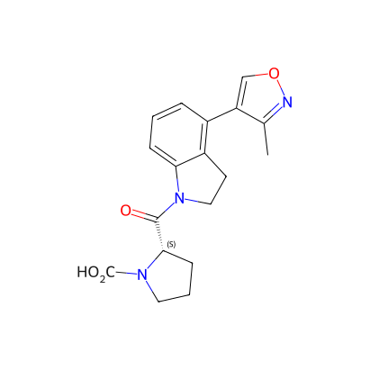 Cc1nocc1-c1cccc2c1CCN2C(=O)[C@@H]1CCCN1C(=O)O